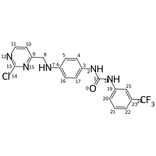 O=C(Nc1ccc(NCc2ccnc(Cl)n2)cc1)Nc1cccc(C(F)(F)F)c1